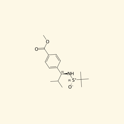 COC(=O)c1ccc([C@@H](N[S@@+]([O-])C(C)(C)C)C(C)C)cc1